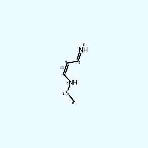 CSN/C=C\C=N